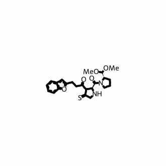 COC(OC)[C@@H]1CCCN1C(=O)[C@H]1NCC(=S)C1C(=O)CCc1cc2ccccc2o1